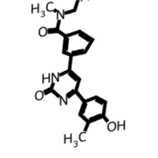 Cc1cc(-c2cc(-c3cccc(C(=O)N(C)CC(C)C)c3)[nH]c(=O)n2)ccc1O